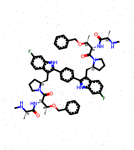 CN[C@@H](C)C(=O)N[C@H](C(=O)N1CCC[C@H]1Cc1c(-c2ccc(-c3[nH]c4cc(F)ccc4c3C[C@@H]3CCCN3C(=O)[C@@H](NC(=O)[C@H](C)NC)[C@@H](C)OCc3ccccc3)cc2)[nH]c2cc(F)ccc12)[C@@H](C)OCc1ccccc1